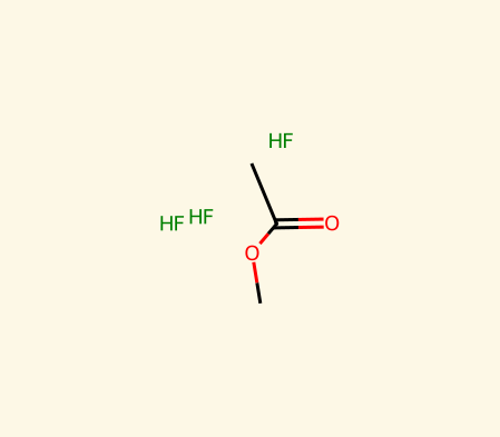 COC(C)=O.F.F.F